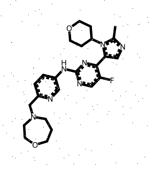 Cc1ncc(-c2nc(Nc3ccc(CN4CCCOCC4)nc3)ncc2F)n1C1CCOCC1